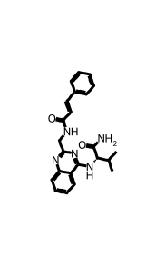 CC(C)[C@H](Nc1nc(CNC(=O)/C=C/c2ccccc2)nc2ccccc12)C(N)=O